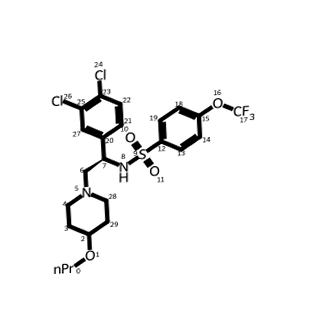 CCCOC1CCN(C[C@H](NS(=O)(=O)c2ccc(OC(F)(F)F)cc2)c2ccc(Cl)c(Cl)c2)CC1